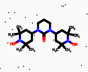 CC1(C)CC(N2CCCN(C3CC(C)(C)N(O)C(C)(C)C3)C2=O)CC(C)(C)N1O